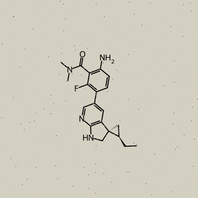 CC[C@@H]1C[C@@]12CNc1ncc(-c3ccc(N)c(C(=O)N(C)C)c3F)cc12